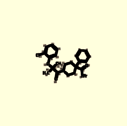 CCCC(=O)C1(c2ccccc2)CCN(C(=O)C(C)(C)Oc2ccccc2Cl)CC1